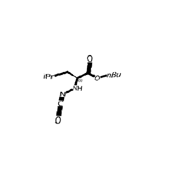 CCCCOC(=O)[C@H](CC(C)C)NN=C=O